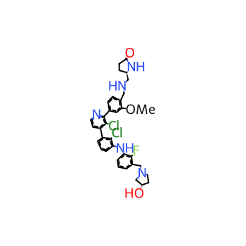 COc1cc(-c2nccc(-c3cccc(Nc4cccc(CN5CC[C@H](O)C5)c4F)c3Cl)c2Cl)ccc1CNC[C@H]1CCC(=O)N1